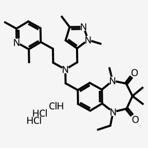 CCN1C(=O)C(C)(C)C(=O)N(C)c2cc(CN(CCc3ccc(C)nc3C)Cc3cc(C)nn3C)ccc21.Cl.Cl.Cl